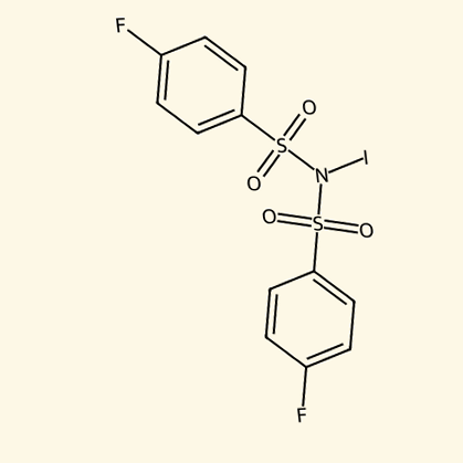 O=S(=O)(c1ccc(F)cc1)N(I)S(=O)(=O)c1ccc(F)cc1